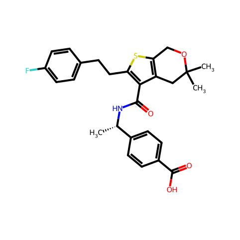 C[C@H](NC(=O)c1c(CCc2ccc(F)cc2)sc2c1CC(C)(C)OC2)c1ccc(C(=O)O)cc1